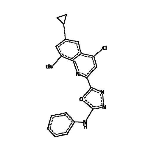 CC(C)(C)c1cc(C2CC2)cc2c(Cl)cc(-c3nnc(Nc4ccccc4)o3)nc12